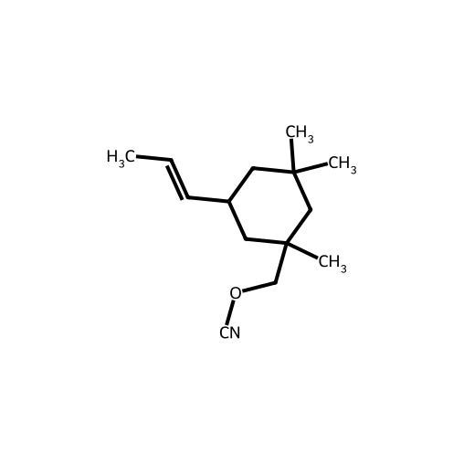 CC=CC1CC(C)(C)CC(C)(COC#N)C1